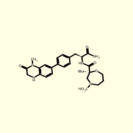 CN1C(=O)CNc2ccc(-c3ccc(C[C@H](NC(=O)[C@]4(C(C)(C)C)CN(C(=O)O)CCCO4)C(N)=O)cc3)cc21